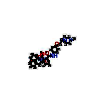 COC(=O)C1=C(C(=O)Nc2ccc(OCCN3CCN(C)CC3)cc2)C2C=CC1(C(Cc1ccccc1)Nc1ccccc1)O2